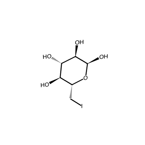 O[C@@H]1[C@@H](O)[C@@H](O)O[C@H](CI)[C@H]1O